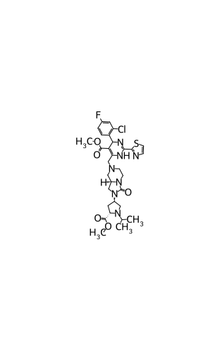 COC(=O)C1=C(CN2CCN3C(=O)N([C@@H]4C[C@@H](C(=O)OC)N(C(C)C)C4)C[C@@H]3C2)NC(c2nccs2)=NC1c1ccc(F)cc1Cl